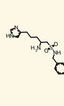 NC(CCCc1c[nH]cn1)CS(=O)(=O)NCc1ccc(Cl)cc1